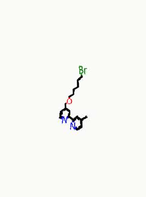 Cc1ccnc(-c2cc(COCCCCCCBr)ccn2)c1